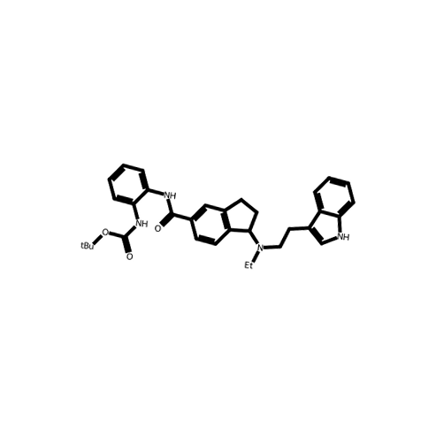 CCN(CCc1c[nH]c2ccccc12)C1CCc2cc(C(=O)Nc3ccccc3NC(=O)OC(C)(C)C)ccc21